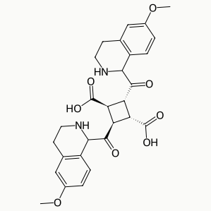 COc1ccc2c(c1)CCNC2C(=O)[C@H]1[C@H](C(=O)O)[C@H](C(=O)C2NCCc3cc(OC)ccc32)[C@H]1C(=O)O